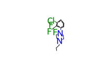 CCCN1CCN(c2cccc(Cl)c2C(F)(F)F)CC1